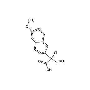 COc1ccc2cc(C(Cl)(C=O)C(=O)O)ccc2c1